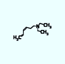 C=C/C=C\CCN(CC)CC